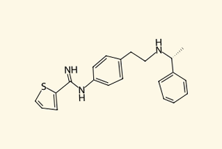 C[C@@H](NCCc1ccc(NC(=N)c2cccs2)cc1)c1ccccc1